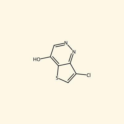 Oc1cnnc2c(Cl)csc12